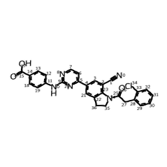 N#Cc1cc(-c2ccnc(Nc3ccc(C(=O)O)cc3)n2)cc2c1N(C(=O)Cc1ccccc1Cl)CC2